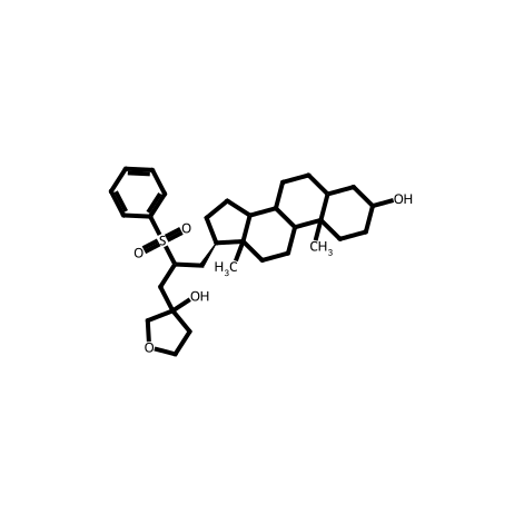 CC12CCC(O)CC1CCC1C2CCC2(C)C1CC[C@@H]2CC(CC1(O)CCOC1)S(=O)(=O)c1ccccc1